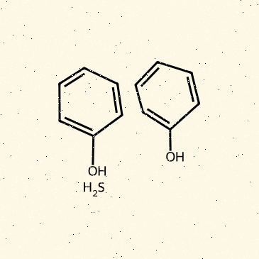 Oc1ccccc1.Oc1ccccc1.S